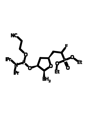 B[C@@H]1O[C@H](CC(F)P(=O)(OCC)OCC)C[C@@H]1OP(OCCC#N)N(C(C)C)C(C)C